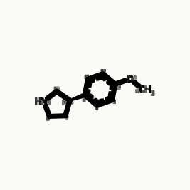 COc1ccc([C@H]2CCNC2)cc1